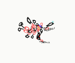 CC(C)(C)[Si](C)(C)Oc1cccc(-c2ccc([C@@H]3[C@@H](CC[C@H](O[Si](C)(C)C(C)(C)C)c4ccc(F)cc4)C(=O)N3c3ccccc3)c(S(=O)(=O)C[C@@H]3OC(COCc4ccccc4)[C@@H](O[C@@H]4OC(COCc5ccccc5)[C@@H](OCc5ccccc5)[C@H](OCc5ccccc5)C4OCc4ccccc4)[C@H](OCc4ccccc4)C3OCc3ccccc3)c2)c1